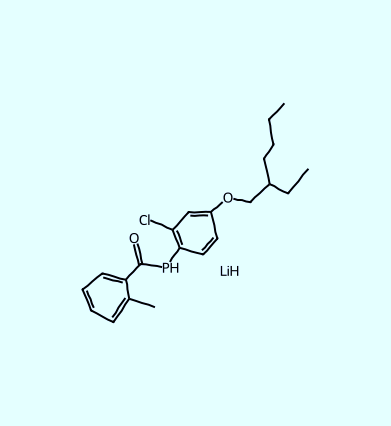 CCCCC(CC)COc1ccc(PC(=O)c2ccccc2C)c(Cl)c1.[LiH]